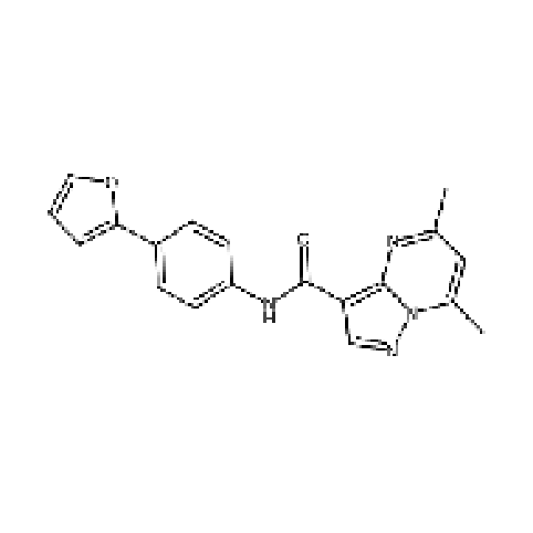 Cc1cc(C)n2ncc(C(=O)Nc3ccc(-c4ccco4)cc3)c2n1